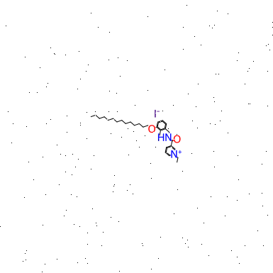 CCCCCCCCCCCCCCOc1cccc(CNC(=O)c2ccc[n+](CC)c2)c1C.[I-]